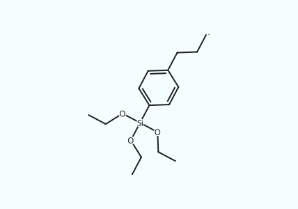 [CH2]CCc1ccc([Si](OCC)(OCC)OCC)cc1